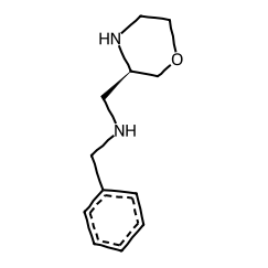 c1ccc(CNC[C@@H]2COCCN2)cc1